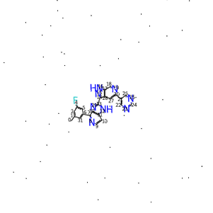 Cc1cc(F)cc(-c2nccc3[nH]c(-c4n[nH]c5cnc(-c6cncnc6)cc45)nc23)c1